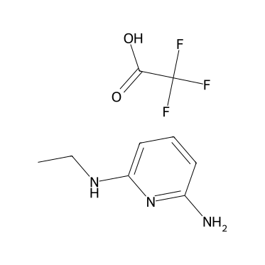 CCNc1cccc(N)n1.O=C(O)C(F)(F)F